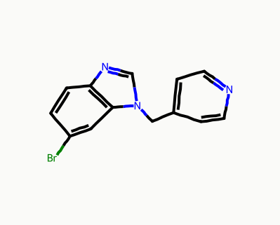 Brc1ccc2ncn(Cc3ccncc3)c2c1